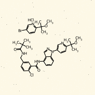 COC(C)(C)c1ccc(-n2ncc3c(NC(=O)c4cc(CNC(=O)C(C)(C)C)ccc4Cl)cccc32)cn1.COC(C)(C)c1ccc(Br)cn1.Cl